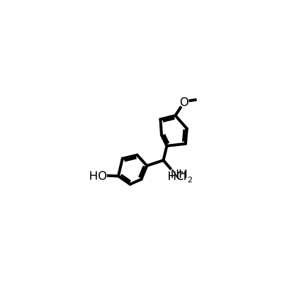 COc1ccc(C(N)c2ccc(O)cc2)cc1.Cl